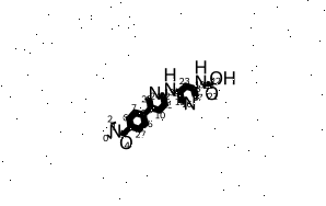 CN(C)C(=O)c1ccc(-c2ccc(Nc3cncc(NC(=O)O)c3)nc2)cc1